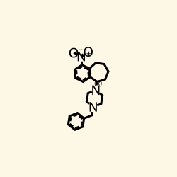 O=[N+]([O-])c1cccc2c1CCCC[C@H]2N1CCN(Cc2ccccc2)CC1